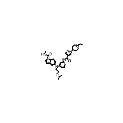 CCN1CCC(n2cc(C(=O)Nc3cc(N(CCOC(C)C)c4ccc5c(ccn5C(=O)NC)c4)ccn3)cn2)CC1